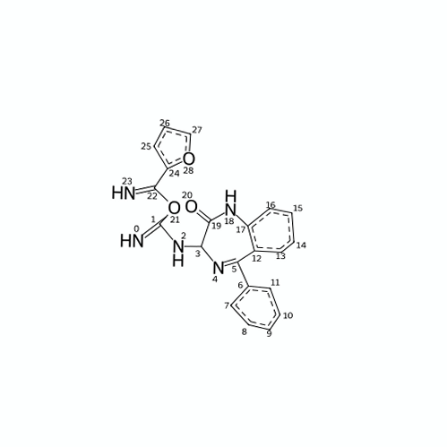 N=C(NC1N=C(c2ccccc2)c2ccccc2NC1=O)OC(=N)c1ccco1